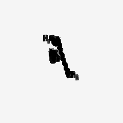 CCCCCCCCCCCCCc1cc[n+](C)cc1.O=C([O-])C(F)(F)F